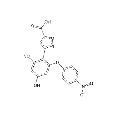 O=C(O)c1cc(-c2c(O)cc(O)cc2Oc2ccc([N+](=O)[O-])cc2)no1